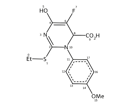 CCSC1=NC(O)=C(F)C(C(=O)O)N1c1ccc(OC)cc1